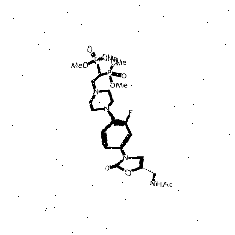 COP(=O)(OC)C(CN1CCN(c2ccc(N3C[C@H](CNC(C)=O)OC3=O)cc2F)CC1)P(=O)(OC)OC